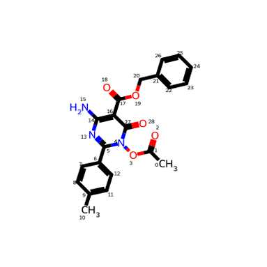 CC(=O)On1c(-c2ccc(C)cc2)nc(N)c(C(=O)OCc2ccccc2)c1=O